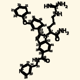 N=C(N)NCCCC(C(N)=O)n1c(-c2cccc(Oc3ccccc3)c2)nc2cc(C(=O)NCc3ccncc3)ccc21